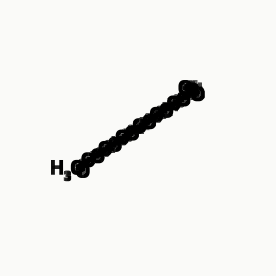 CC(=O)CCOCCOCCOCCOCCOCCOCCOCCOCCOCCOCCOCCOCCN1C(=O)C=CC1=O